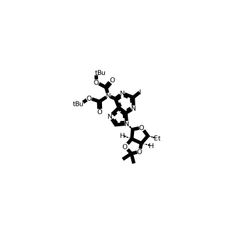 CC[C@H]1O[C@@H](n2cnc3c(N(C(=O)OC(C)(C)C)C(=O)OC(C)(C)C)nc(I)nc32)[C@@H]2OC(C)(C)O[C@@H]21